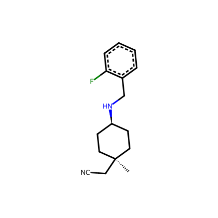 C[C@]1(CC#N)CC[C@@H](NCc2ccccc2F)CC1